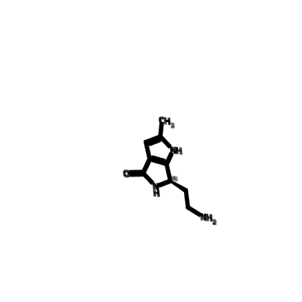 Cc1cc2c([nH]1)[C@@H](CCN)NC2=O